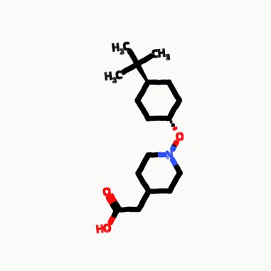 CC(C)(C)[C@H]1CC[C@H](ON2CCC(CC(=O)O)CC2)CC1